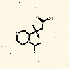 CC(C)N1CCOCC1C(C)(C)CC(=O)O